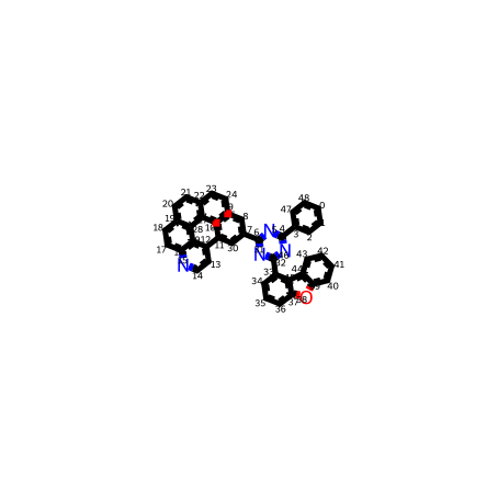 c1ccc(-c2nc(-c3cccc(-c4ccnc5ccc6ccc7ccccc7c6c45)c3)nc(-c3cccc4oc5ccccc5c34)n2)cc1